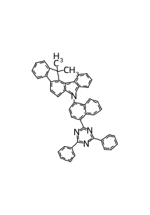 CC1(C)c2ccccc2-c2ccc3c(c21)c1ccccc1n3-c1ccc(-c2nc(-c3ccccc3)nc(-c3ccccc3)n2)c2ccccc12